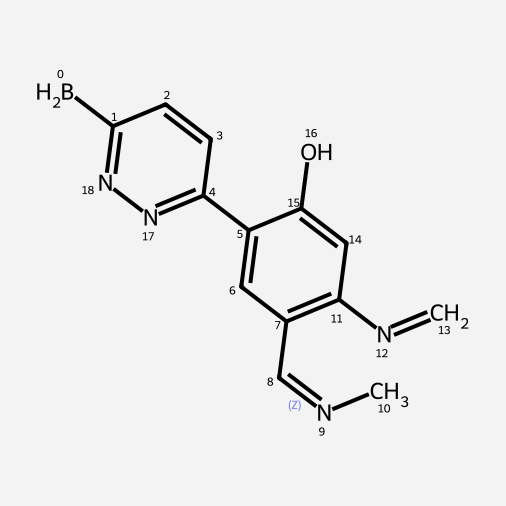 Bc1ccc(-c2cc(/C=N\C)c(N=C)cc2O)nn1